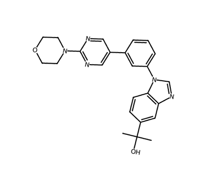 CC(C)(O)c1ccc2c(c1)ncn2-c1cccc(-c2cnc(N3CCOCC3)nc2)c1